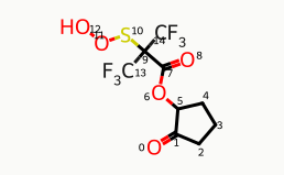 O=C1CCCC1OC(=O)C(SOO)(C(F)(F)F)C(F)(F)F